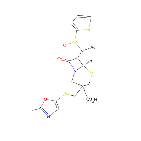 CC(=O)N(C1C(=O)N2CC(CSc3cnc(C)o3)(C(=O)O)CS[C@H]12)[S+]([O-])c1cccs1